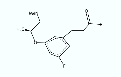 CCC(=O)CCc1cc(F)cc(O[C@@H](C)CNC)c1